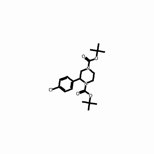 CC(C)(C)OC(=O)N1CCN(C(=O)OC(C)(C)C)C(c2ccc(Cl)cc2)C1